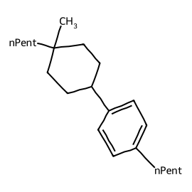 CCCCCc1ccc(C2CCC(C)(CCCCC)CC2)cc1